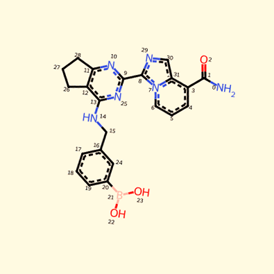 NC(=O)c1cccn2c(-c3nc4c(c(NCc5cccc(B(O)O)c5)n3)CCC4)ncc12